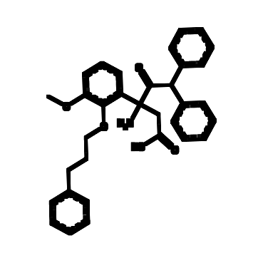 COc1cccc(C(N)(CC(=O)O)C(=O)C(c2ccccc2)c2ccccc2)c1OCCCc1ccccc1